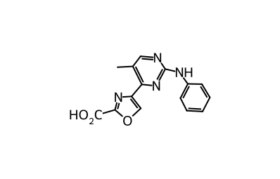 Cc1cnc(Nc2ccccc2)nc1-c1coc(C(=O)O)n1